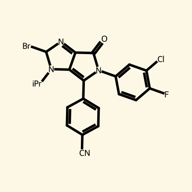 CC(C)N1C2=C(c3ccc(C#N)cc3)N(c3ccc(F)c(Cl)c3)C(=O)C2=NC1Br